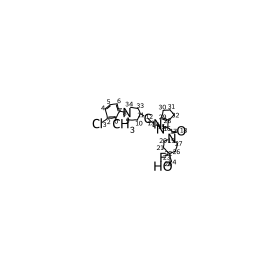 Cc1c(Cl)cccc1N1CCC(CCn2nc(C(=O)N3CCC(F)(CO)CC3)c3c2CCC3)CC1